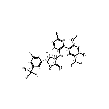 COc1cc(F)c(C(C)C)cc1-c1cc(F)ccc1CN1C(=O)O[C@H](c2cc(C)cc(C(F)(F)F)c2)[C@@H]1C